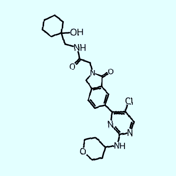 O=C(CN1Cc2ccc(-c3nc(NC4CCOCC4)ncc3Cl)cc2C1=O)NCC1(O)CCCCC1